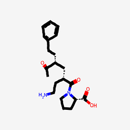 CC(=O)[C@H](CCc1ccccc1)C[C@@H](CCN)C(=O)N1CCC[C@H]1C(=O)O